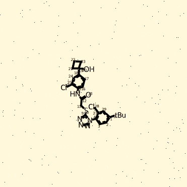 CC(C)(C)c1ccc(-n2nnnc2SCC(=O)Nc2ccc(C3(O)CCC3)cc2Cl)c(Cl)c1